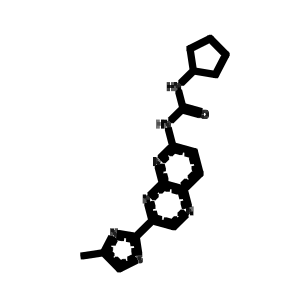 Cc1csc(-c2cnc3ccc(NC(=O)NC4CCCC4)nc3n2)n1